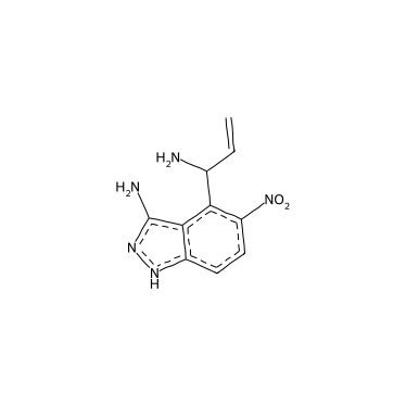 C=CC(N)c1c([N+](=O)[O-])ccc2[nH]nc(N)c12